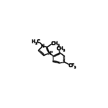 Cc1cc(C(F)(F)F)ccc1-[n+]1ccn(C)c1C